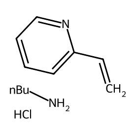 C=Cc1ccccn1.CCCCN.Cl